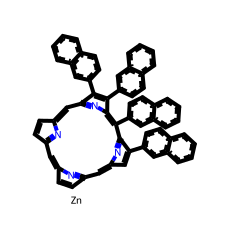 C1=CC2=NC1=CC1=NC(=C(c3ccc4ccccc4c3)C3=NC(=CC4=NC(=C2)C=C4)C=C3c2ccc3ccccc3c2)C(c2ccc3ccccc3c2)=C1c1ccc2ccccc2c1.[Zn]